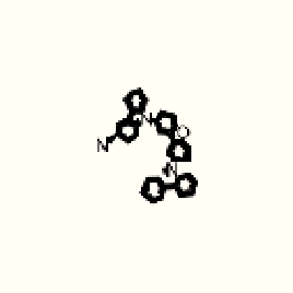 CN(c1ccc2oc3ccc(-n4c5ccccc5c5cc(C#N)ccc54)cc3c2c1)c1ccccc1-c1ccccc1